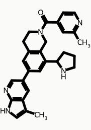 Cc1cc(C(=O)N2CCc3cc(-c4cnc5[nH]cc(C)c5c4)cc(C4CCCN4)c3C2)ccn1